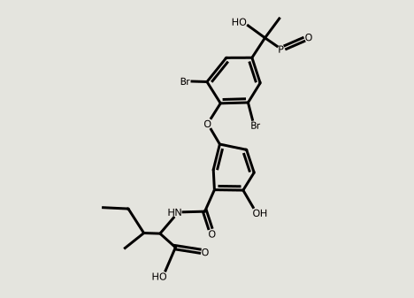 CCC(C)C(NC(=O)c1cc(Oc2c(Br)cc(C(C)(O)P=O)cc2Br)ccc1O)C(=O)O